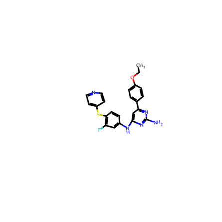 CCOc1ccc(-c2cc(Nc3ccc(Sc4ccncc4)c(F)c3)nc(N)n2)cc1